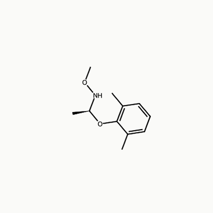 CON[C@H](C)Oc1c(C)cccc1C